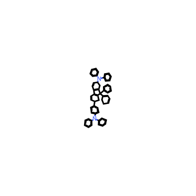 C1=CCCC(C2(c3ccccc3)C3=C(C=CC(c4ccc(N(c5ccccc5)c5ccccc5)cc4)C3)C3=C2CC(N(c2ccccc2)c2ccccc2)C=C3)=C1